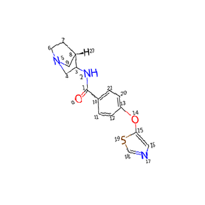 O=C(NC1CN2CC[C@H]1C2)c1ccc(Oc2cncs2)cc1